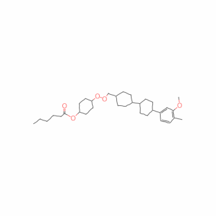 CCCCCC(=O)OC1CCC(OOCC2CCC(C3CCC(c4ccc(C)c(OC)c4)CC3)CC2)CC1